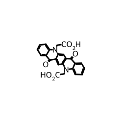 O=C(O)Cn1c2ccccc2c(=O)c2cc3c(cc21)c(=O)c1ccccc1n3CC(=O)O